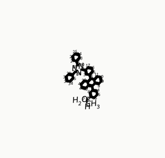 C=[PH](C)C1=CC(c2c3ccccc3c(-c3cccc(-c4nc(-c5ccccc5)nc(-c5ccccc5)n4)c3)c3ccccc23)=CCC1